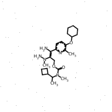 Cc1nc(/C(N)=C(\COC(=O)N(C)C(C)C2CCC2)N(C)N)ccc1OC1CCCCC1